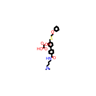 CN(C)CCCCNC(=O)c1ccc(-c2ccc(CSCCOc3ccccc3)cc2)cc1.O=C(O)C(=O)O